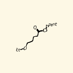 CCCCCOC(=O)CCCCOCC